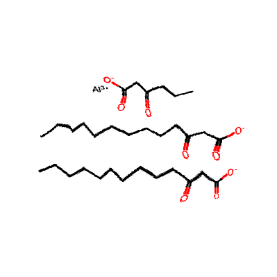 CCCC(=O)CC(=O)[O-].CCCCCCCCCCC(=O)CC(=O)[O-].CCCCCCCCCCC(=O)CC(=O)[O-].[Al+3]